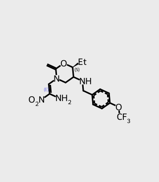 C=C1O[C@@H](CC)C(NCc2ccc(OC(F)(F)F)cc2)CN1/C=C(\N)[N+](=O)[O-]